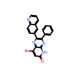 O=c1cc(Br)c2nc(-c3ccc4ncccc4c3)c(-c3ccccc3)nc2[nH]1